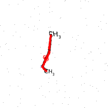 CCCCCCCC/C=C\CCCCCCCCCCCCOC(=O)CCCCCCCCCCCCCCCCCCCCCCCCCCCCCCCCCCCCCC